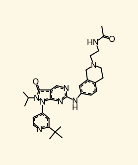 CC(=O)NCCN1CCc2ccc(Nc3ncc4c(=O)n(C(C)C)n(-c5ccnc(C(C)(C)C)c5)c4n3)cc2C1